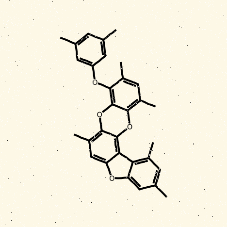 Cc1cc(C)cc(Oc2c(C)cc(C)c3c2Oc2c(C)cc4oc5cc(C)cc(C)c5c4c2O3)c1